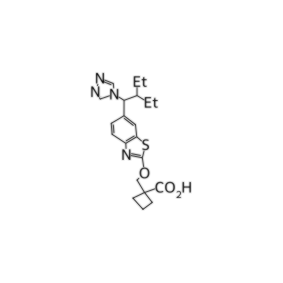 CCC(CC)C(c1ccc2nc(OCC3(C(=O)O)CCC3)sc2c1)n1cnnc1